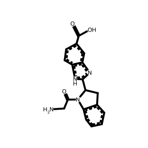 NCC(=O)N1c2ccccc2CC1c1nc2cc(C(=O)O)ccc2[nH]1